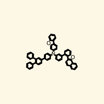 c1ccc(-c2ccc(-c3ccc(N(c4cccc(-c5cccc6oc7c8ccccc8ccc7c56)c4)c4ccc5c(c4)oc4ccccc45)cc3)cc2-c2ccccc2)cc1